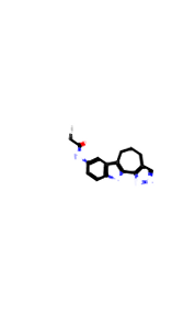 CC(C)CC(=O)Nc1ccc2[nH]c3c(c2c1)CCCc1cn[nH]c1-3